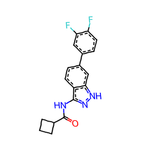 O=C(Nc1n[nH]c2cc(-c3ccc(F)c(F)c3)ccc12)C1CCC1